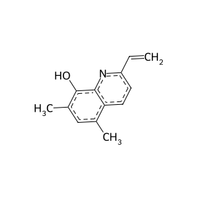 C=Cc1ccc2c(C)cc(C)c(O)c2n1